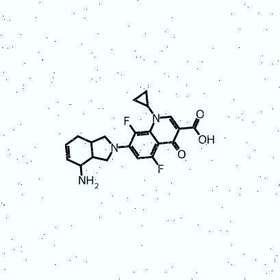 NC1C=CCC2CN(c3cc(F)c4c(=O)c(C(=O)O)cn(C5CC5)c4c3F)CC12